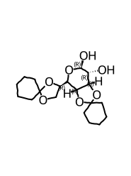 O[C@@H]1[C@@H]2OC3(CCCCC3)O[C@@H]2C([C@H]2COC3(CCCCC3)O2)O[C@H]1O